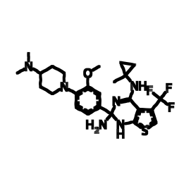 COc1cc(C2(N)N=C(NC3(C)CC3)c3c(C(F)(F)F)csc3N2)ccc1N1CCC(N(C)C)CC1